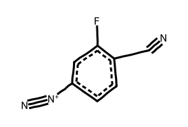 N#Cc1ccc([N+]#N)cc1F